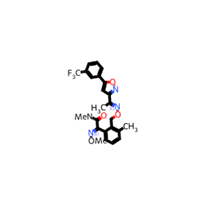 CNC(=O)/C(=N/OC)c1cccc(C)c1CO/N=C(\C)c1cc(-c2cccc(C(F)(F)F)c2)on1